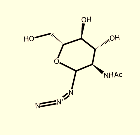 CC(=O)N[C@H]1C(N=[N+]=[N-])O[C@H](CO)[C@@H](O)[C@@H]1O